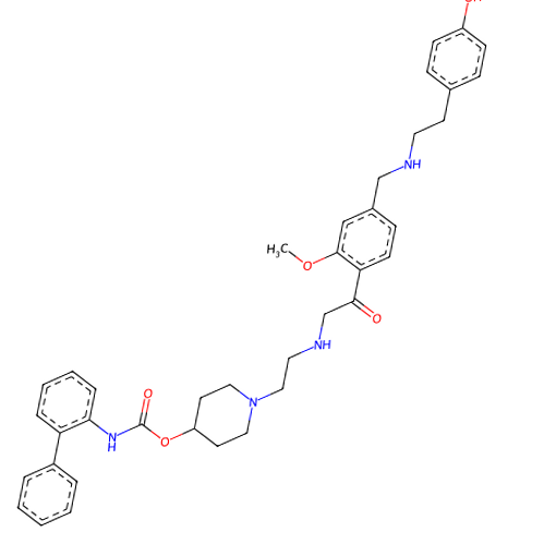 COc1cc(CNCCc2ccc(O)cc2)ccc1C(=O)CNCCN1CCC(OC(=O)Nc2ccccc2-c2ccccc2)CC1